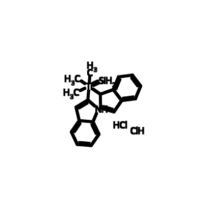 Cl.Cl.[CH3][Ti]([CH3])([CH3])(=[SiH2])([c]1cc2ccccc2[nH]1)[CH]1C=Cc2ccccc21